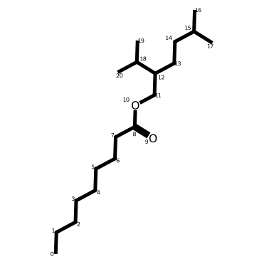 CCCCCCCCC(=O)OCC(CCC(C)C)C(C)C